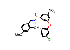 COc1ccc(CN[S+]([O-])c2cc(Oc3cccc(Cl)c3)cc([N+](=O)[O-])c2)c(OC)c1